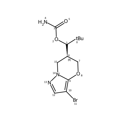 CC(C)(C)C(OC(N)=O)[C@H]1COc2c(Br)cnn2C1